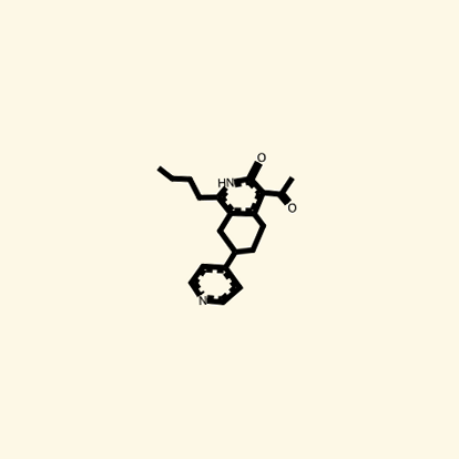 CCCCc1[nH]c(=O)c(C(C)=O)c2c1CC(c1ccncc1)CC2